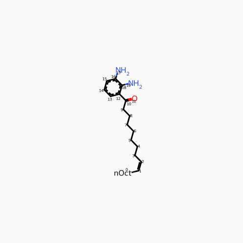 CCCCCCCC/C=C\CCCCCCCC(=O)c1cccc(N)c1N